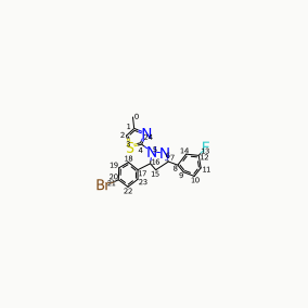 Cc1csc(N2N=C(c3cccc(F)c3)CC2c2ccc(Br)cc2)n1